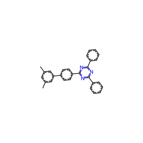 Cc1cc(C)cc(-c2ccc(-c3nc(-c4ccccc4)nc(-c4ccccc4)n3)cc2)c1